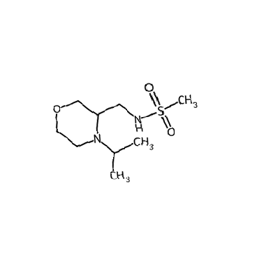 CC(C)N1CCOCC1CNS(C)(=O)=O